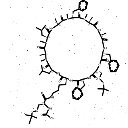 CC(C)C[C@@H]1NC(=O)[C@H](CCCCNC(=O)[C@H](CSSC(C)(C)C)NC(=O)O)NC(=O)[C@H](Cc2ccccc2)NC(=O)[C@@H](CSSC(C)(C)C)OC(=O)[C@H](Cc2ccccc2)NC(=O)[C@H](C)NC(=O)[C@H](C)N(C)C(=O)[C@H](Cc2ccccc2)N(C)C(=O)[C@H](C)NC(=O)[C@H](CC(C)C)N(C)C(=O)[C@H](C)N(C)C1=O